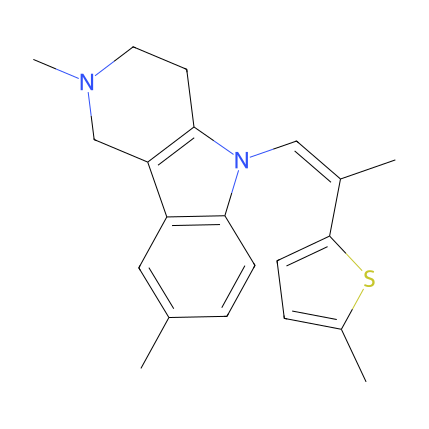 C/C(=C/n1c2c(c3cc(C)ccc31)CN(C)CC2)c1ccc(C)s1